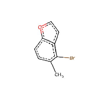 Cc1ccc2occc2c1Br